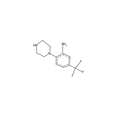 Bc1cc(C(F)(F)F)ccc1N1CCNCC1